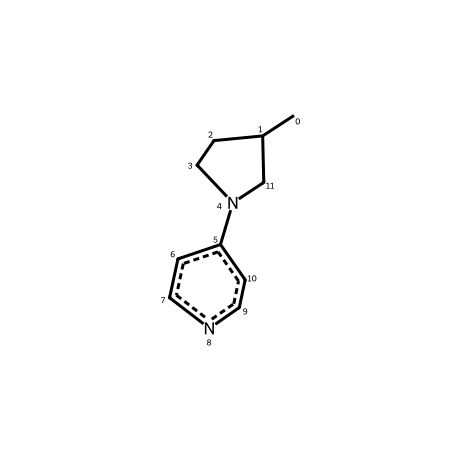 CC1CCN(c2ccncc2)C1